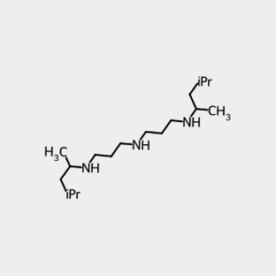 CC(C)CC(C)NCCCNCCCNC(C)CC(C)C